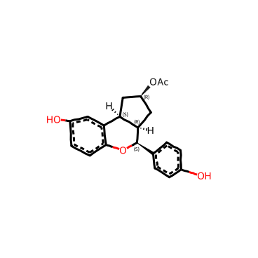 CC(=O)O[C@H]1C[C@@H]2[C@H](C1)c1cc(O)ccc1O[C@@H]2c1ccc(O)cc1